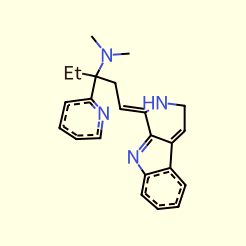 CCC(CC=C1NCC=C2C1=Nc1ccccc12)(c1ccccn1)N(C)C